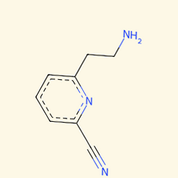 N#Cc1cccc(CCN)n1